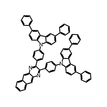 c1ccc(-c2ccc3c(c2)c2cc(-c4ccccc4)ccc2n3-c2ccc(-c3nc4cc5ccccc5cc4nc3-c3ccc(-n4c5ccc(-c6ccccc6)cc5c5cc(-c6ccccc6)ccc54)cc3)cc2)cc1